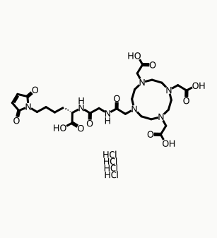 Cl.Cl.Cl.Cl.O=C(O)CN1CCN(CC(=O)O)CCN(CC(=O)NCC(=O)N[C@@H](CCCCN2C(=O)C=CC2=O)C(=O)O)CCN(CC(=O)O)CC1